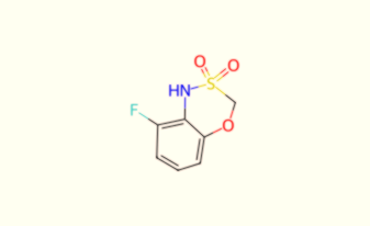 O=S1(=O)COc2cccc(F)c2N1